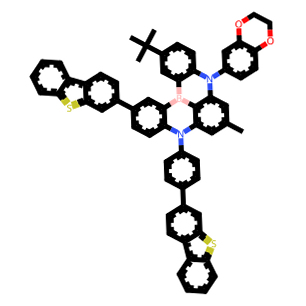 Cc1cc2c3c(c1)N(c1ccc4c(c1)OCCO4)c1ccc(C(C)(C)C)cc1B3c1cc(-c3ccc4c(c3)sc3ccccc34)ccc1N2c1ccc(-c2ccc3c(c2)sc2ccccc23)cc1